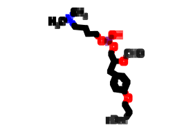 CCCCCCCCCCCCOc1ccc(CC(COP(O)OCCCCN(C)C)OC=O)cc1